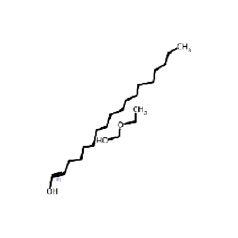 CCCCCCCCCCCCCCCC/C=C/O.CCOCO